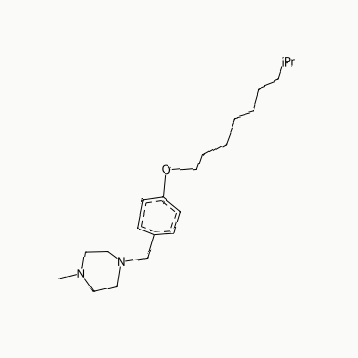 CC(C)CCCCCCCOc1ccc(CN2CCN(C)CC2)cc1